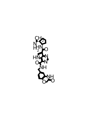 C=C(N)[C@@H]1CCCC1NC(=O)c1c[nH]c2c(C(=O)NCc3ccc4c(c3)NC(=O)CO4)ncnc12